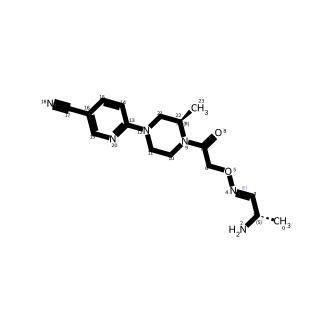 C[C@H](N)/C=N/OCC(=O)N1CCN(c2ccc(C#N)cn2)C[C@H]1C